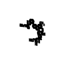 CNC(=O)NCc1ccccc1-c1ccc(CN2C(=O)[C@H](NC(=O)CC(C)(C)NC[C@H](O)CO)CCc3cc(C(F)(F)F)ccc32)cc1